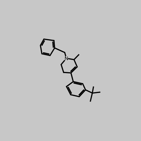 CC1C=C(c2cccc(C(C)(C)C)c2)CCN1Cc1ccccc1